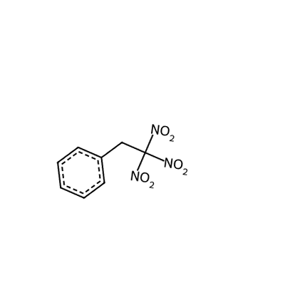 O=[N+]([O-])C(Cc1ccccc1)([N+](=O)[O-])[N+](=O)[O-]